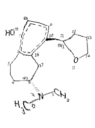 CN(C)[C@@H]1CCc2cccc([C@H]3CCCO3)c2C1.Cl